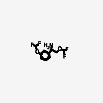 NC(COC(F)F)c1cccc(OC(F)F)c1